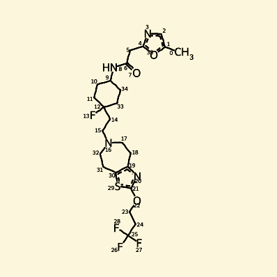 Cc1cnc(CC(=O)NC2CCC(F)(CCN3CCc4nc(OCCC(F)(F)F)sc4CC3)CC2)o1